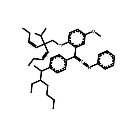 CC/C=C\C(/C=C\CC)(COc1ccc(OC)cc1C(=C=Nc1ccccc1)c1ccc(C(C)C(CC)CCCC)cc1)C(C)C